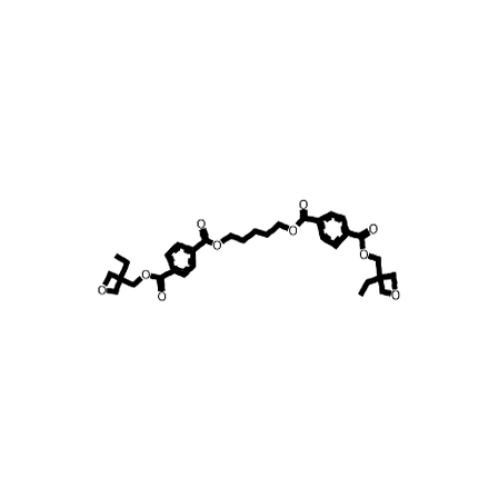 CCC1(COC(=O)c2ccc(C(=O)OCCCCCOC(=O)c3ccc(C(=O)OCC4(CC)COC4)cc3)cc2)COC1